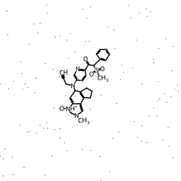 C#CCN(c1ccc(C(=O)C(c2ccccc2)S(C)(=O)=O)nc1)C1C=C2C(=CN(C)C[NH+]2[O-])C2=C1CCC2